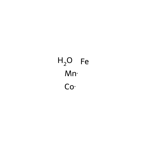 O.[Co].[Fe].[Mn]